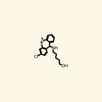 CN1Sc2cc(Cl)ccc2C(NCCCCCO)c2ccccc21